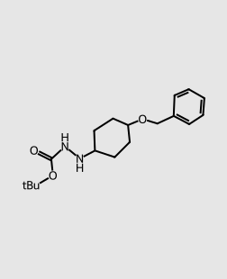 CC(C)(C)OC(=O)NNC1CCC(OCc2ccccc2)CC1